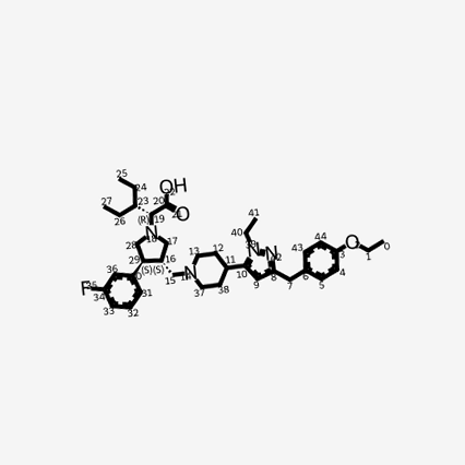 CCOc1ccc(Cc2cc(C3CCN(C[C@H]4CN([C@@H](C(=O)O)C(CC)CC)C[C@@H]4c4cccc(F)c4)CC3)n(CC)n2)cc1